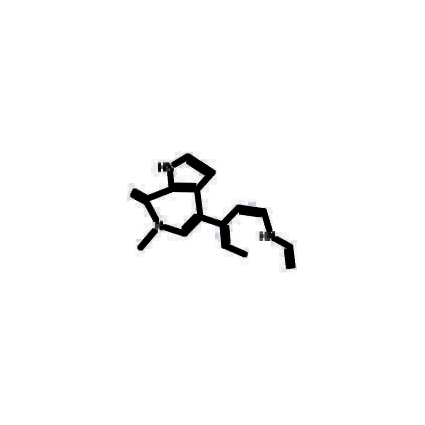 C=CN/C=C\C(=C/C)C1=CN(C)C(=C)c2[nH]ccc21